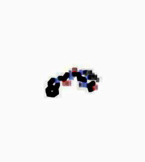 C=N/C(=C\C(=N/C)C(=O)NCC(O)CN1CCc2ccccc2C1)NC1COC1